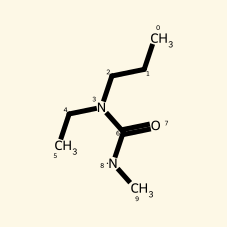 CCCN(CC)C(=O)[N]C